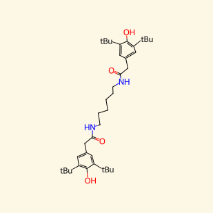 CC(C)(C)c1cc(CC(=O)NCCCCCCNC(=O)Cc2cc(C(C)(C)C)c(O)c(C(C)(C)C)c2)cc(C(C)(C)C)c1O